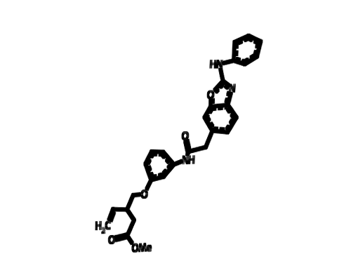 C=CC(COc1cccc(NC(=O)Cc2ccc3nc(Nc4ccccc4)oc3c2)c1)CC(=O)OC